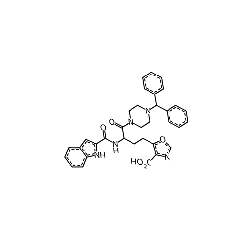 O=C(NC(CCc1ocnc1C(=O)O)C(=O)N1CCN(C(c2ccccc2)c2ccccc2)CC1)c1cc2ccccc2[nH]1